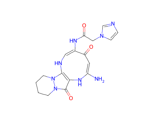 Nc1cc(=O)c(NC(=O)Cn2ccnc2)c[nH]c2c([nH]1)c(=O)n1n2CCCC1